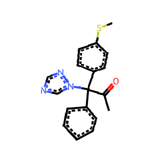 CSc1ccc(C(C(C)=O)(c2ccccc2)n2cncn2)cc1